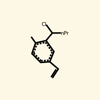 C=Cc1ccc(C)c(C(Cl)CCC)c1